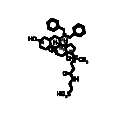 C[C@H](CCC(=O)NCCS(=O)(=O)O)[C@H]1CC[C@H]2[C@@H]3[C@@H](N(Cc4ccccc4)Cc4ccccc4)CC4C[C@H](O)CC[C@]4(C)[C@H]3CC[C@]12C